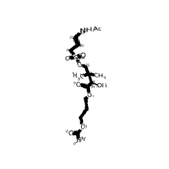 CCCC(=O)OCCCOC(=O)[C@H](O)C(C)(C)COS(=O)(=O)CCCNC(C)=O